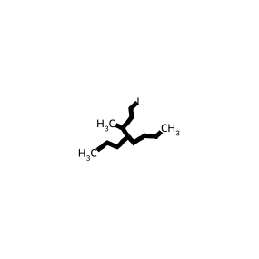 CCCCC(CCC)C(C)CCI